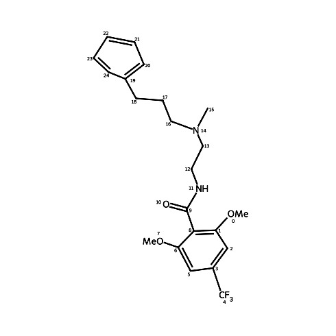 COc1cc(C(F)(F)F)cc(OC)c1C(=O)NCCN(C)CCCc1ccccc1